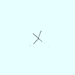 CCCCC(C(=O)[O-])(C(=O)[O-])C(C)C.[K+].[Li+]